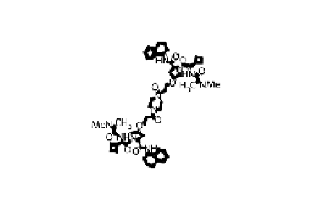 CN[C@@H](C)C(=O)N[C@H](C(=O)N1C[C@@H](OCCC(=O)N2CCN(C(=O)CCO[C@H]3C[C@@H](C(=O)N[C@@H]4CCCc5ccccc54)N(C(=O)[C@@H](NC(=O)[C@H](C)NC)C4CCC4)C3)CC2)C[C@H]1C(=O)N[C@@H]1CCCc2ccccc21)C1CCC1